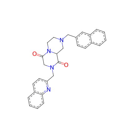 O=C1C2CN(Cc3ccc4ccccc4c3)CCN2C(=O)CN1Cc1ccc2ccccc2n1